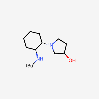 CC(C)(C)N[C@H]1CCCC[C@@H]1N1CC[C@@H](O)C1